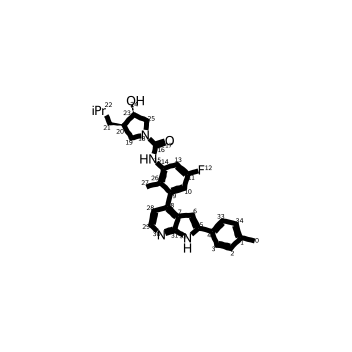 Cc1ccc(-c2cc3c(-c4cc(F)cc(NC(=O)N5C[C@@H](CC(C)C)[C@H](O)C5)c4C)ccnc3[nH]2)cc1